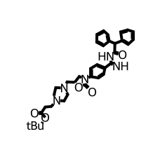 CC(C)(C)OC(=O)CCN1CCN(CC2CN(c3ccc(C(=N)NC(=O)C(c4ccccc4)c4ccccc4)cc3)C(=O)O2)CC1